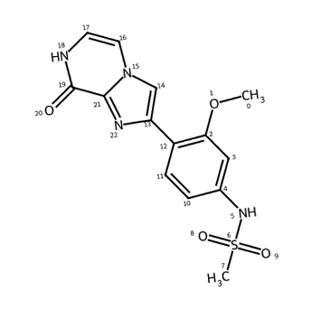 COc1cc(NS(C)(=O)=O)ccc1-c1cn2cc[nH]c(=O)c2n1